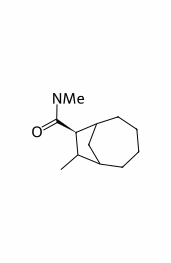 CNC(=O)[C@H]1C2CCCCC(C2)C1C